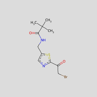 CC(C)(C)C(=O)NCc1cnc(C(=O)CBr)s1